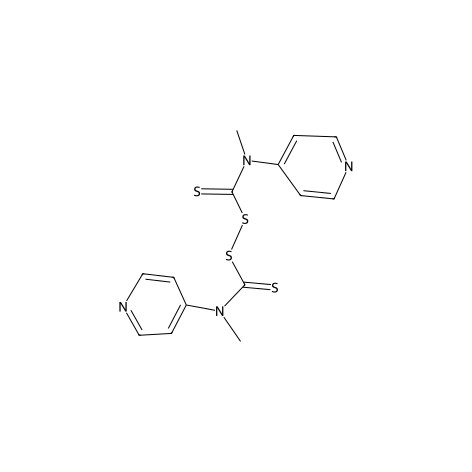 CN(C(=S)SSC(=S)N(C)c1ccncc1)c1ccncc1